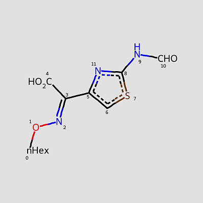 CCCCCCON=C(C(=O)O)c1csc(NC=O)n1